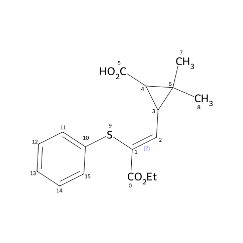 CCOC(=O)/C(=C/C1C(C(=O)O)C1(C)C)Sc1ccccc1